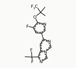 CC(F)(F)c1ncn2cnc(-c3cnc(OC(C)(C)C(F)(F)F)c(F)c3)cc12